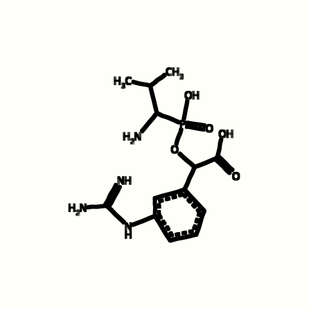 CC(C)C(N)P(=O)(O)OC(C(=O)O)c1cccc(NC(=N)N)c1